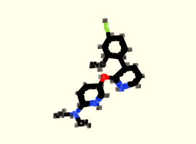 CCCN(C)c1ccc(Oc2ncccc2-c2ccc(F)cc2OC)cn1